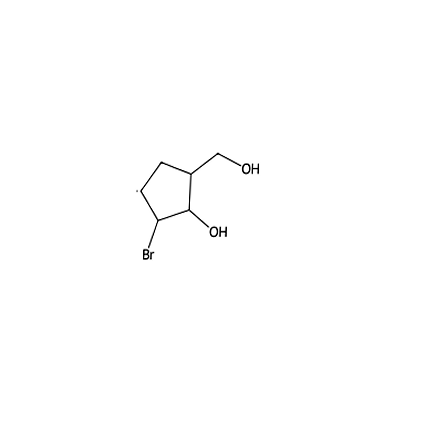 OCC1C[CH]C(Br)C1O